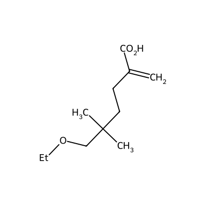 C=C(CCC(C)(C)COCC)C(=O)O